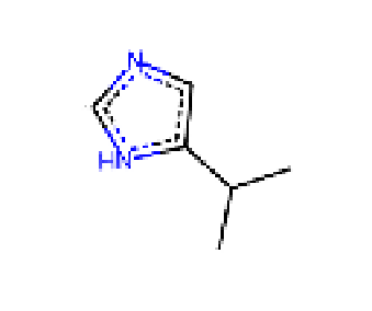 CC(C)c1cn[c][nH]1